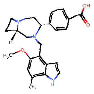 COc1cc(C)c2[nH]ccc2c1CN1C[C@@H]2CCN2C[C@@H]1c1ccc(C(=O)O)cc1